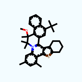 COC1(C)c2c(cc(C(C)(C)C)c3ccccc23)-c2c3c4c(sc3c3c(C)cc(C)cc3[n+]2C1(C)C)CCCC4